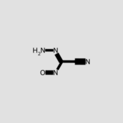 N#CC(N=O)=NN